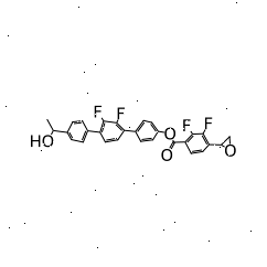 CC(O)c1ccc(-c2ccc(-c3ccc(OC(=O)c4ccc(C5CO5)c(F)c4F)cc3)c(F)c2F)cc1